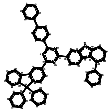 c1ccc(-c2ccc(-c3nc(-c4ccc5c(c4)-c4ccccc4C5(c4ccccc4)c4ccccc4)nc(-c4ccc5c(c4)oc4cccc(-c6ccccc6)c45)n3)cc2)cc1